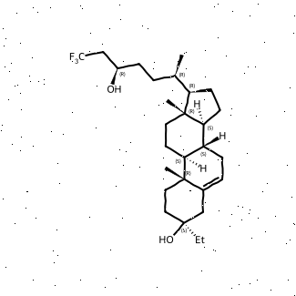 CC[C@]1(O)CC[C@@]2(C)C(=CC[C@H]3[C@@H]4CC[C@H]([C@H](C)CC[C@@H](O)CC(F)(F)F)[C@@]4(C)CC[C@@H]32)C1